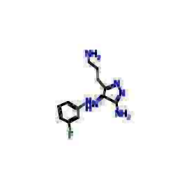 NCCCC1=NN=C(N)/C1=N/Nc1cccc(F)c1